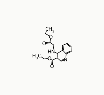 CCOC(=O)CNc1c(C(=O)OCC)cnc2ccccc12